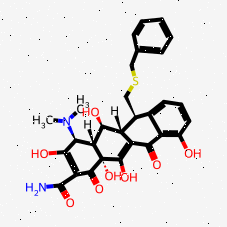 CN(C)[C@@H]1C(O)=C(C(N)=O)C(=O)[C@]2(O)C(O)=C3C(=O)c4c(O)cccc4[C@H](CSCc4ccccc4)[C@H]3[C@H](O)[C@@H]12